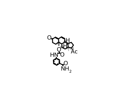 CC(=O)[C@H]1CC[C@H]2[C@@H]3C=CC4=CC(=O)CC[C@@]4(C)C3[C@@H](OC(=O)Nc3cccc(C(N)=O)c3)C[C@]12C